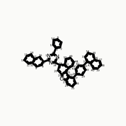 c1ccc(-c2nc(-c3ccc4ccccc4c3)nc(-c3cc4oc5cccc(-c6ccc(-c7cccc8ccccc78)cc6)c5c4c4ccccc34)n2)cc1